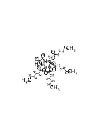 CCCCCC(=O)OC[C@@H]1[C@@H](OC(=O)CCCCC)[C@H](OC(=O)CCCCC)[C@H](OC(=O)CCCCC)C2NC(=O)C(=O)N21